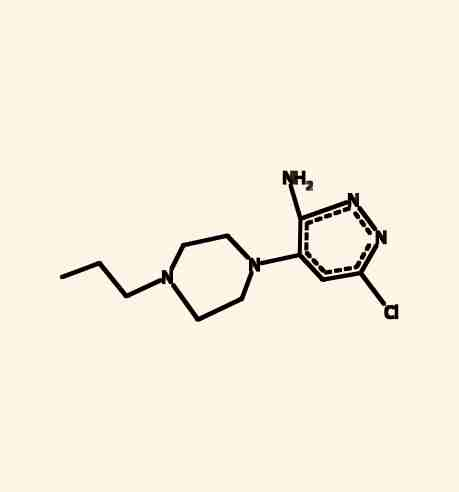 CCCN1CCN(c2cc(Cl)nnc2N)CC1